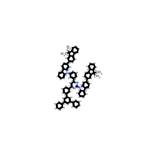 CC1(C)c2ccccc2-c2ccc(-c3ccc4c5ccccc5n(-c5cccc(-c6cc(-c7cccc(-c8cc(-c9ccccc9)cc(-c9ccccc9)c8)c7)nc(-n7c8ccccc8c8ccc(-c9ccc%10c(c9)C(C)(C)c9ccccc9-%10)cc87)n6)c5)c4c3)cc21